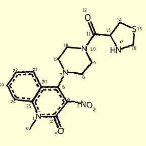 Cn1c(=O)c([N+](=O)[O-])c(N2CCN(C(=O)C3CSCN3)CC2)c2ccccc21